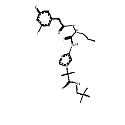 CCC[C@H](NC(=O)Cc1cc(F)cc(F)c1)C(=O)Nc1cn(C(C)(C)C(=O)NCC(C)(C)C)cn1